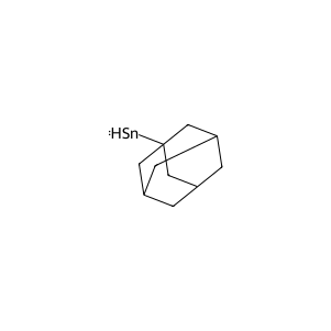 [SnH][C]12CC3CC(CC(C3)C1)C2